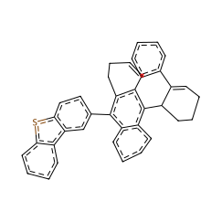 C1=Cc2c(c(-c3ccc4sc5ccccc5c4c3)c3ccccc3c2C2CCCC=C2c2ccccc2)CC1